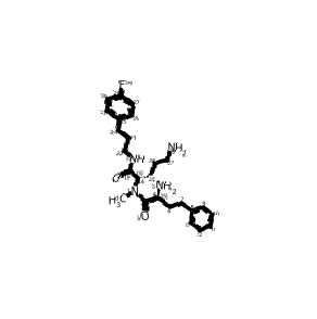 CN(C(=O)[C@@H](N)CCc1ccccc1)[C@@H](CCCN)C(=O)NCCCc1ccc(F)cc1